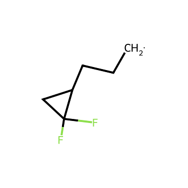 [CH2]CCC1CC1(F)F